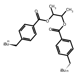 CC[C@@H](C)Cc1ccc(C(=O)OC(C)C(C)OC(=O)c2ccc(C[C@H](C)CC)cc2)cc1